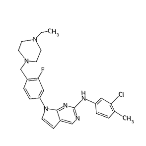 CCN1CCN(Cc2ccc(-n3ccc4cnc(Nc5ccc(C)c(Cl)c5)nc43)cc2F)CC1